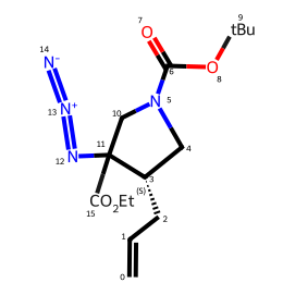 C=CC[C@H]1CN(C(=O)OC(C)(C)C)CC1(N=[N+]=[N-])C(=O)OCC